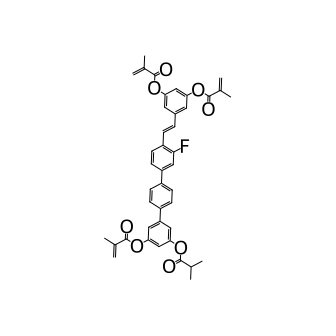 C=C(C)C(=O)Oc1cc(/C=C/c2ccc(-c3ccc(-c4cc(OC(=O)C(=C)C)cc(OC(=O)C(C)C)c4)cc3)cc2F)cc(OC(=O)C(=C)C)c1